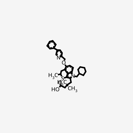 CC1Cc2c(OCc3ccc(-c4ccccc4)cn3)ccc3c2c(c(CC(C)(C)CC(=O)O)n3CC2CCCCC2)S1